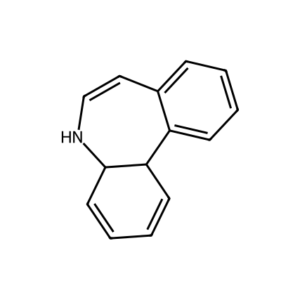 C1=CC2NC=Cc3ccccc3C2C=C1